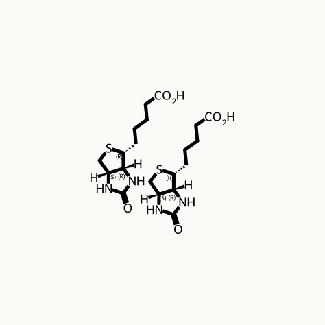 O=C(O)CCCC[C@H]1SC[C@H]2NC(=O)N[C@H]21.O=C(O)CCCC[C@H]1SC[C@H]2NC(=O)N[C@H]21